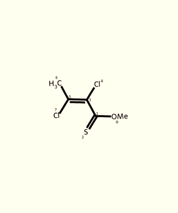 COC(=S)C(Cl)=C(C)Cl